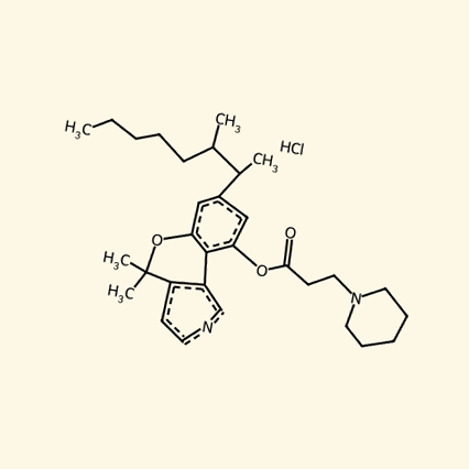 CCCCCC(C)C(C)c1cc(OC(=O)CCN2CCCCC2)c2c(c1)OC(C)(C)c1ccncc1-2.Cl